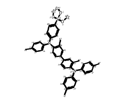 CCO[Si](OCC)(OCC)c1ccc(N(c2ccc(C)cc2)c2ccc(-c3ccc(N(c4ccc(C)cc4)c4ccc(C)cc4)c(C)c3)cc2C)cc1